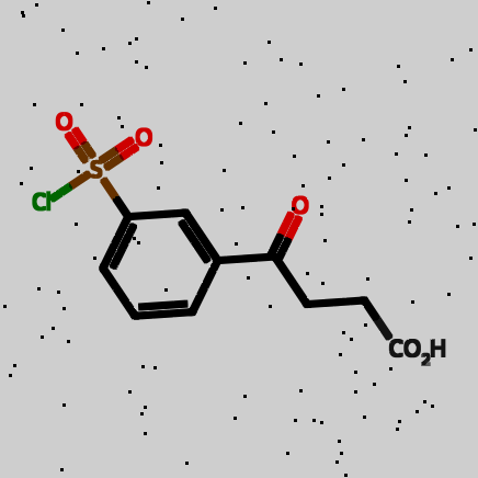 O=C(O)CCC(=O)c1cccc(S(=O)(=O)Cl)c1